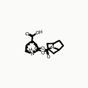 COC(=O)N1C2CCC1CC(Oc1cc(C(=O)O)ccn1)C2